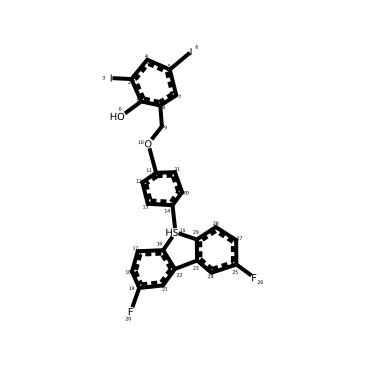 Oc1c(I)cc(I)cc1COc1ccc([SH]2c3ccc(F)cc3-c3cc(F)ccc32)cc1